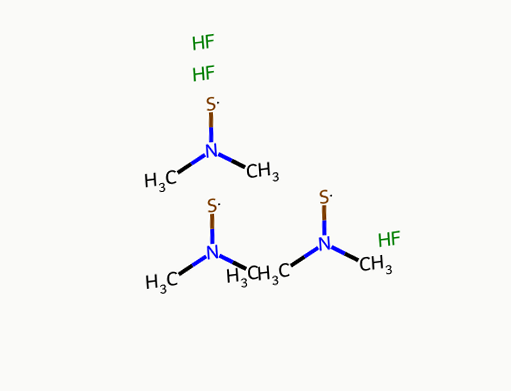 CN(C)[S].CN(C)[S].CN(C)[S].F.F.F